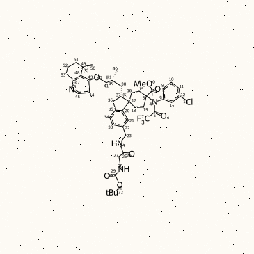 COC(=O)C1(N(C(=O)C(F)(F)F)c2cccc(Cl)c2)CCC2(CC1)c1cc(CNC(=O)CNC(=O)OC(C)(C)C)ccc1C[C@@H]2C[C@@H](C)COc1ccnc2c1[C@H](C)CCC2